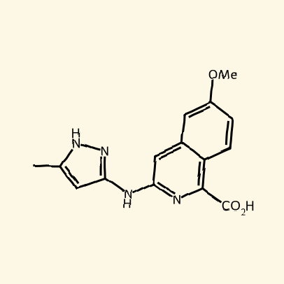 COc1ccc2c(C(=O)O)nc(Nc3cc(C)[nH]n3)cc2c1